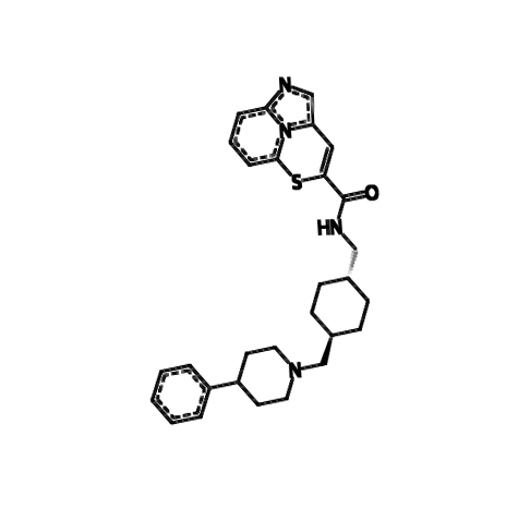 O=C(NC[C@H]1CC[C@H](CN2CCC(c3ccccc3)CC2)CC1)C1=Cc2cnc3cccc(n23)S1